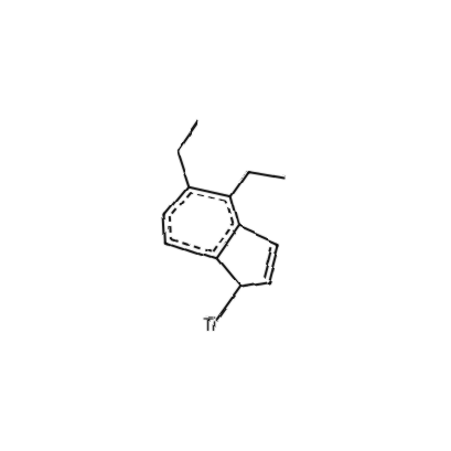 CCc1ccc2c(c1CC)C=C[CH]2[Ti]